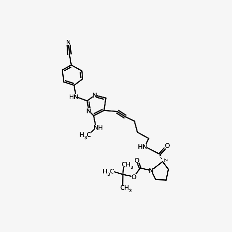 CNc1nc(Nc2ccc(C#N)cc2)ncc1C#CCCCNC(=O)[C@@H]1CCCN1C(=O)OC(C)(C)C